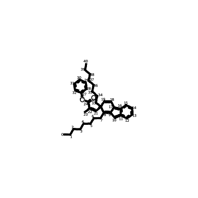 CCCCCCCCC1=C2C=c3ccccc3=C2C=CC1(C=C(C)C(=O)Oc1ccccc1)CCCCCCCC